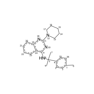 Cc1ccc(C(C)(C)Nc2nc(N3CCCCC3)nc3ccccc23)cc1